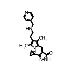 Cc1[nH]c(/C=C2/C(=O)NN=C2C2CC2)c(C)c1CCNCc1ccncc1